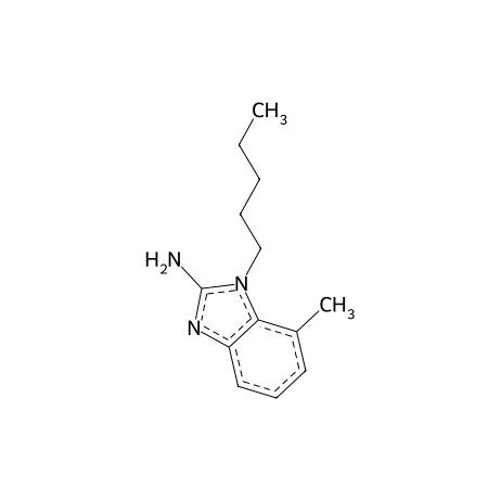 CCCCCn1c(N)nc2cccc(C)c21